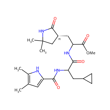 COC(=O)C(C[C@@H]1CC(C)(C)NC1=O)NC(=O)C(CC1CC1)NC(=O)c1cc(C)c(C)[nH]1